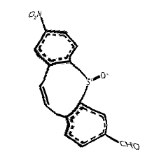 O=Cc1ccc2c(c1)[S+]([O-])c1ccc([N+](=O)[O-])cc1C=C2